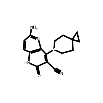 N#Cc1c(N2CCC3(CC2)CC3)c2nc(N)ccc2[nH]c1=O